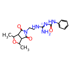 CC1OC(C)C2C(=O)N(CCN/C(N)=N/C(=O)Nc3ccccc3)C(=O)C12